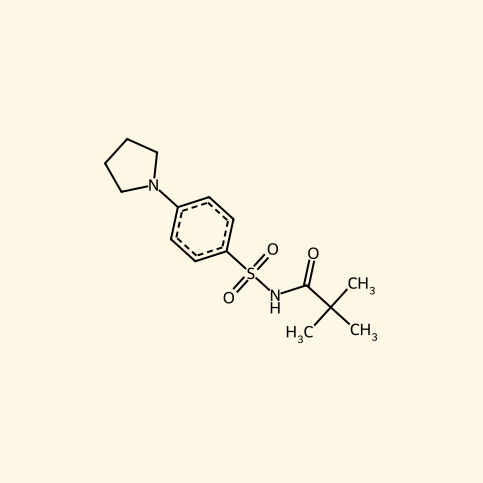 CC(C)(C)C(=O)NS(=O)(=O)c1ccc(N2CCCC2)cc1